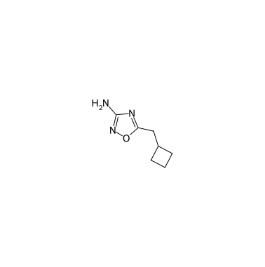 Nc1noc(CC2CCC2)n1